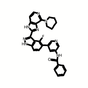 O=C(Nc1cncc(-c2ccc3[nH]nc(-c4nc5c(N6CCCCC6)nccc5[nH]4)c3c2F)c1)c1ccccc1